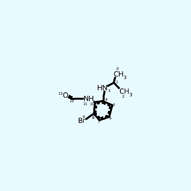 CC(C)Nc1cccc(Br)c1NC=O